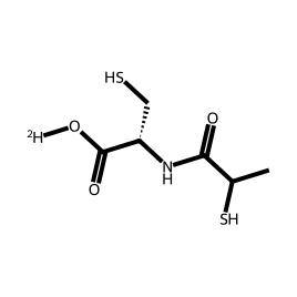 [2H]OC(=O)[C@H](CS)NC(=O)C(C)S